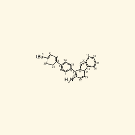 CC(C)(C)C1=CC=C(c2ccc(C3=C(N)C=CC4c5ccccc5SC34)cc2)CC1